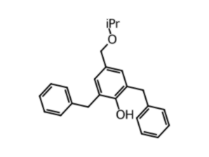 CC(C)OCc1cc(Cc2ccccc2)c(O)c(Cc2ccccc2)c1